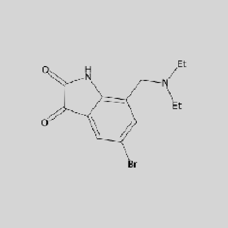 CCN(CC)Cc1cc(Br)cc2c1NC(=O)C2=O